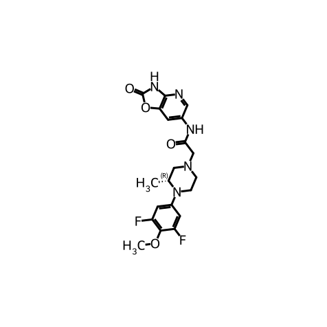 COc1c(F)cc(N2CCN(CC(=O)Nc3cnc4[nH]c(=O)oc4c3)C[C@H]2C)cc1F